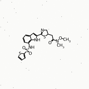 CON(C)C(=O)CC1CN=C(c2cc3cccc(NS(=O)(=O)c4cccs4)c3[nH]2)S1